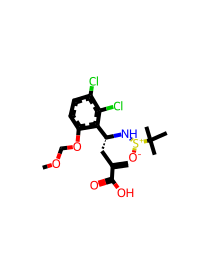 C=C(C[C@@H](N[S+]([O-])C(C)(C)C)c1c(OCOC)ccc(Cl)c1Cl)C(=O)O